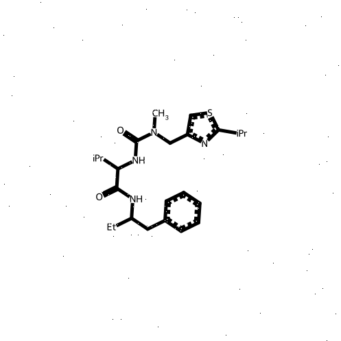 CCC(Cc1ccccc1)NC(=O)C(NC(=O)N(C)Cc1csc(C(C)C)n1)C(C)C